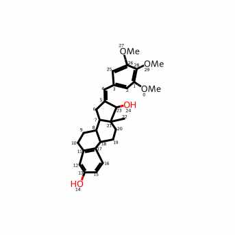 COc1cc(C=C2CC3C4CCc5cc(O)ccc5C4CCC3(C)C2O)cc(OC)c1OC